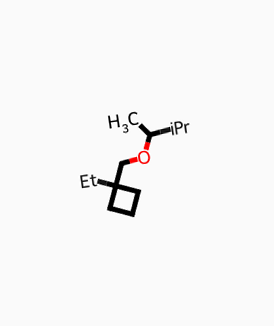 CCC1(COC(C)C(C)C)CCC1